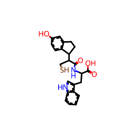 O=C(O)C(Cc1c[nH]c2ccccc12)NC(=O)C(CS)C1CCc2cc(O)ccc21